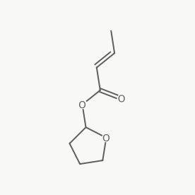 CC=CC(=O)OC1CCCO1